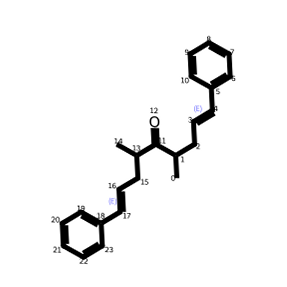 CC(C/C=C/c1ccccc1)C(=O)C(C)C/C=C/c1ccccc1